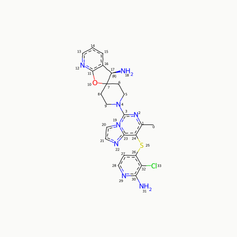 Cc1nc(N2CCC3(CC2)Oc2ncccc2[C@H]3N)n2ccnc2c1Sc1ccnc(N)c1Cl